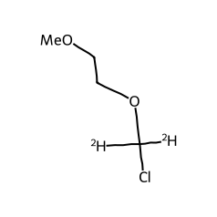 [2H]C([2H])(Cl)OCCOC